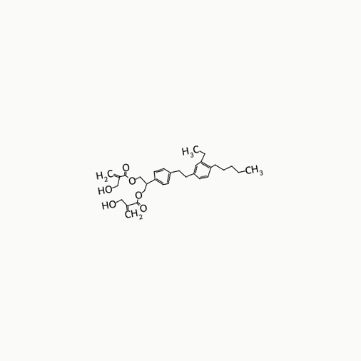 C=C(CO)C(=O)OCC(COC(=O)C(=C)CO)c1ccc(CCc2ccc(CCCCC)c(CC)c2)cc1